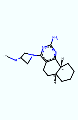 CCNC1CN(c2nc(N)nc3c2CC[C@H]2CCCC[C@@H]32)C1